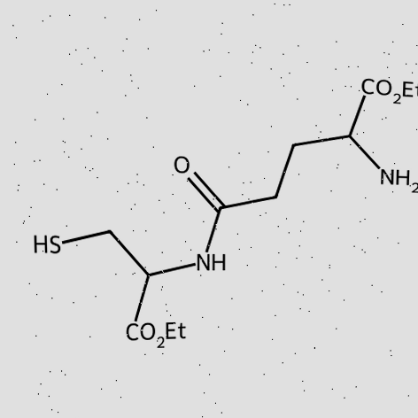 CCOC(=O)C(N)CCC(=O)NC(CS)C(=O)OCC